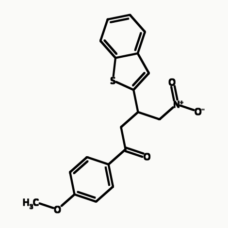 COc1ccc(C(=O)CC(C[N+](=O)[O-])c2cc3ccccc3s2)cc1